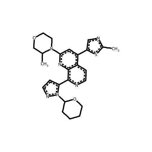 Cc1ncc(-c2cc(N3CCOCC3C)nc3c(-c4ccnn4C4CCCCO4)nccc23)s1